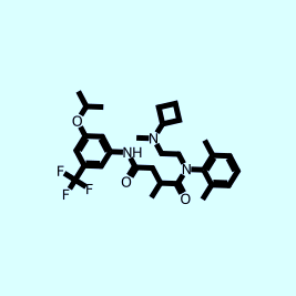 Cc1cccc(C)c1N(CCN(C)C1CCC1)C(=O)C(C)CC(=O)Nc1cc(OC(C)C)cc(C(F)(F)F)c1